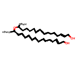 CCCCCC(CCCCCCCCCCCC=CCO)OC(CCCCC)CCCCCCCCCCCC=CCO